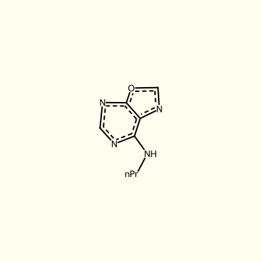 CCCNc1ncnc2ocnc12